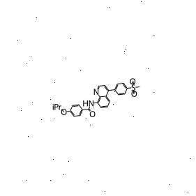 CC(C)Oc1ccc(C(=O)Nc2cccc3c(-c4ccc(S(C)(=O)=O)cc4)ccnc23)cc1